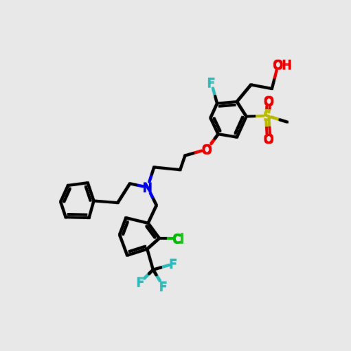 CS(=O)(=O)c1cc(OCCCN(CCc2ccccc2)Cc2cccc(C(F)(F)F)c2Cl)cc(F)c1CCO